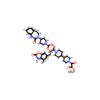 CCCCOC(=O)C(=O)N1CCC(C2CCN(C(=O)[C@@H](Cc3cc(C)c4c(c3)oc(=O)n4C)OC(=O)N3CCC(N4CCc5ccccc5NC4=O)CC3)CC2)CC1